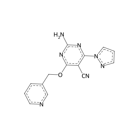 N#Cc1c(OCc2cccnc2)nc(N)nc1-n1cccn1